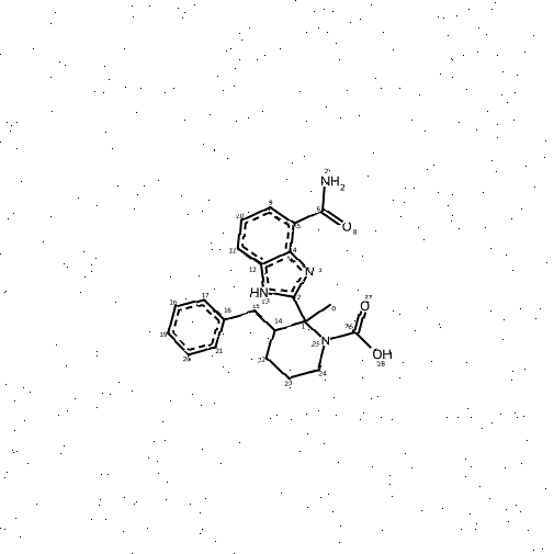 CC1(c2nc3c(C(N)=O)cccc3[nH]2)C(Cc2ccccc2)CCCN1C(=O)O